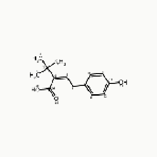 CC(C)(C)C(=CCc1ccc(O)cc1)C(=O)O